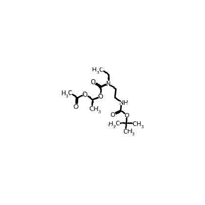 CCN(CCNC(=O)OC(C)(C)C)C(=O)OC(C)OC(C)=O